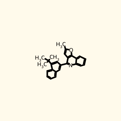 Cc1cc2c(-c3cc(C(C)(C)C)c4ccccc4c3)nc3ccccc3c2o1